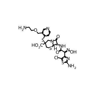 NCCOCc1cnccc1SC1(C(=O)O)CS[C@@H]2[C@H](NC(=O)C(=NO)c3nc(N)sc3Cl)C(=O)N2C1